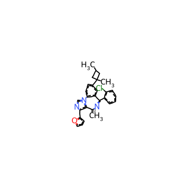 CC1CC(C)(c2ccc3c(c2)C(c2ccccc2Cl)=N[C@@H](C)c2c(-c4ccco4)ncn2-3)C1